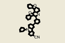 N#Cc1ccc2c(c1)c1cc(-c3cccc(-c4nc5ccc6oc7ccccc7c6c5c5oc6ccccc6c45)c3)ccc1n2-c1ccccc1